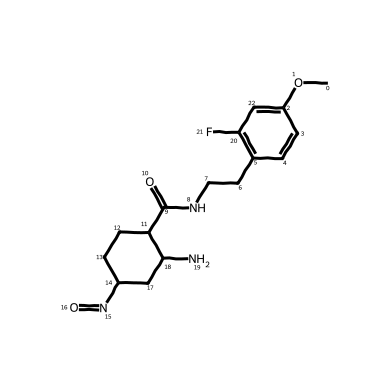 COc1ccc(CCNC(=O)C2CCC(N=O)CC2N)c(F)c1